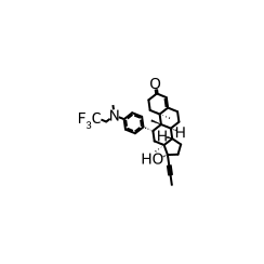 CC#C[C@]1(O)CC[C@H]2[C@@H]3CCC4=CC(=O)CC[C@]4(C)[C@@]3(C)[C@@H](c3ccc(N(C)CC(F)(F)F)cc3)C[C@@]21C